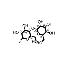 OC[C@H]1O[C@@H](O[C@H]2[C@H](O)[C@@H](O)C(S)O[C@@H]2CO)[C@H](O)[C@@H](O)[C@H]1O